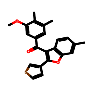 COc1cc(C(=O)c2c(-c3ccsc3)oc3cc(C)ccc23)cc(C)c1C